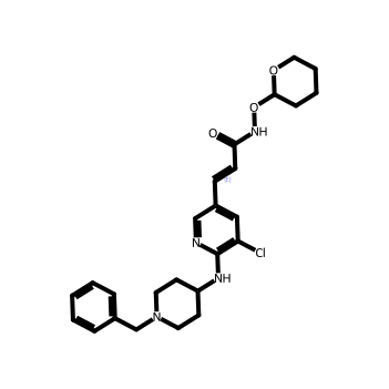 O=C(/C=C/c1cnc(NC2CCN(Cc3ccccc3)CC2)c(Cl)c1)NOC1CCCCO1